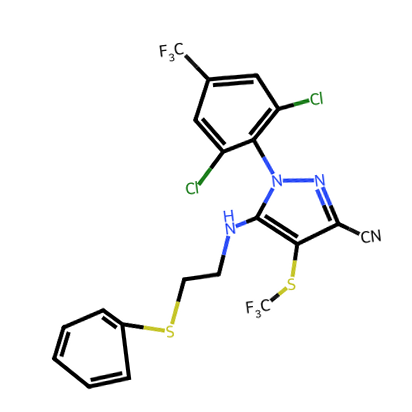 N#Cc1nn(-c2c(Cl)cc(C(F)(F)F)cc2Cl)c(NCCSc2ccccc2)c1SC(F)(F)F